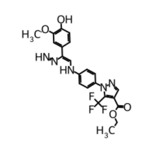 CCOC(=O)c1cnn(-c2ccc(N/C=C(\N=N)c3ccc(O)c(OC)c3)cc2)c1C(F)(F)F